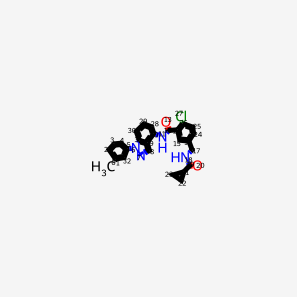 Cc1cccc(-n2ncc3c(NC(=O)c4cc(CNC(=O)C5CC5)ccc4Cl)cccc32)c1